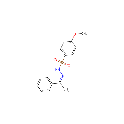 COc1ccc(S(=O)(=O)NN=C(C)c2ccccc2)cc1